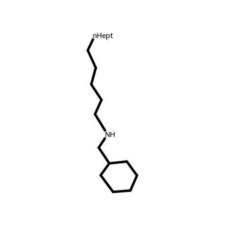 CCCCCCCCCCCCNCC1CCCCC1